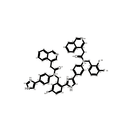 O=C(Cc1cncc2ccccc12)N(Cc1cc(F)ccc1-c1nc(-c2ccc(N(Cc3cccc(F)c3F)C(=O)Cc3cncc4ccccc34)cc2)c[nH]1)c1ccc(-c2c[nH]cn2)cc1